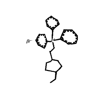 CCC1CCC(CC[P+](c2ccccc2)(c2ccccc2)c2ccccc2)CC1.[Br-]